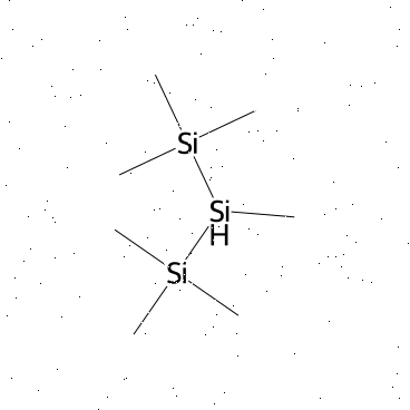 C[SiH]([Si](C)(C)C)[Si](C)(C)C